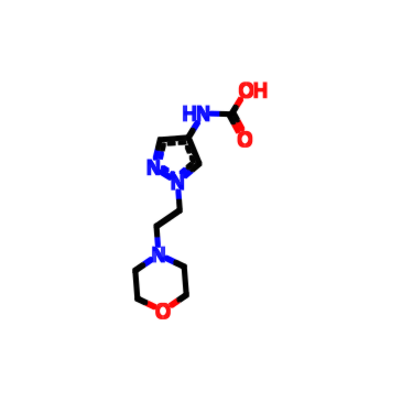 O=C(O)Nc1cnn(CCN2CCOCC2)c1